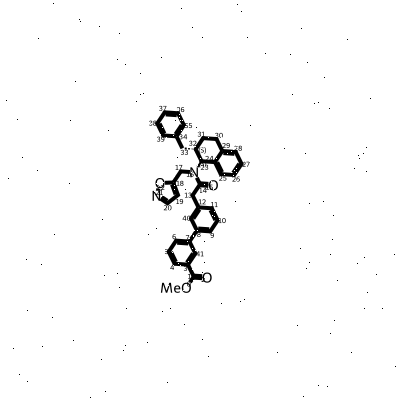 COC(=O)c1cccc(-c2cccc(CC(=O)N(Cc3ccno3)[C@@H]3c4ccccc4CC[C@H]3Cc3ccccc3)c2)c1